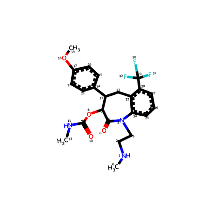 CNCCN1C(=O)C(OC(=O)NC)C(c2ccc(OC)cc2)Cc2c1cccc2C(F)(F)F